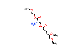 CCCOCCOC(=O)C(N)COC(=O)CCCC(CO[N+](=O)[O-])O[N+](=O)[O-]